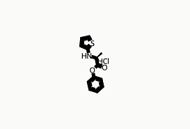 C[C@H](Nc1cccs1)C(=O)Oc1ccccc1.Cl